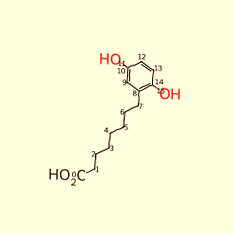 O=C(O)CCCCCCCc1cc(O)ccc1O